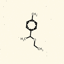 [CH2]c1ccc(C(C)OCC)cc1